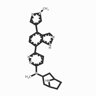 CN(c1ccc(-c2ccc(-c3cnn(C)c3)c3cn[nH]c23)nn1)C1CC2CCC(C1)N2